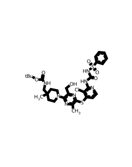 Cc1nc(N2CCC(C)(CNC(=O)OC(C)(C)C)CC2)c(CO)nc1Sc1ccnc(NC(=O)NS(=O)(=O)c2ccccc2)c1Cl